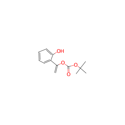 C=C(OC(=O)OC(C)(C)C)c1ccccc1O